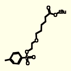 Cc1ccc(S(=O)(=O)OCCOCCCCCC(=O)OC(C)(C)C)cc1